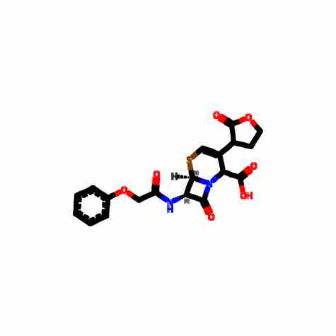 O=C(COc1ccccc1)N[C@@H]1C(=O)N2C(C(=O)O)C(C3CCOC3=O)=CS[C@H]12